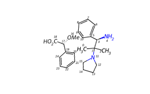 CC(C)([C@H](N)c1ccccc1)N1CCCC1.CO[C@@H](C(=O)O)c1ccccc1